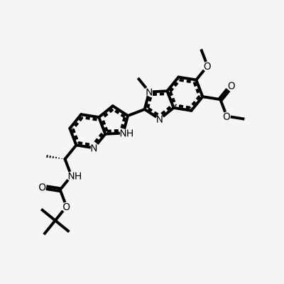 COC(=O)c1cc2nc(-c3cc4ccc([C@@H](C)NC(=O)OC(C)(C)C)nc4[nH]3)n(C)c2cc1OC